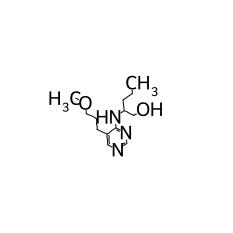 CCCC(CO)Nc1ncncc1CCCOC